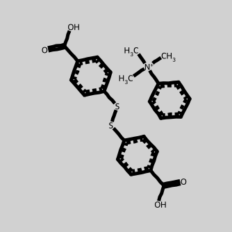 C[N+](C)(C)c1ccccc1.O=C(O)c1ccc(SSc2ccc(C(=O)O)cc2)cc1